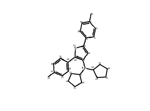 Cc1ccc(-c2cc(P(C3CCCC3)C3CCCC3)c(-c3ccc(C)cc3)s2)cc1